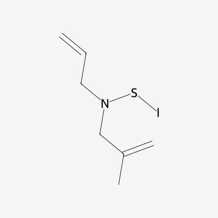 C=CCN(CC(=C)C)SI